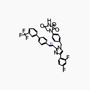 O=C1CN(c2ccc(Cn3cc(-c4ccc(F)cc4F)nc3/C=C/c3ccc(-c4cccc(C(F)(F)F)c4)cc3)cc2)S(=O)(=O)N1